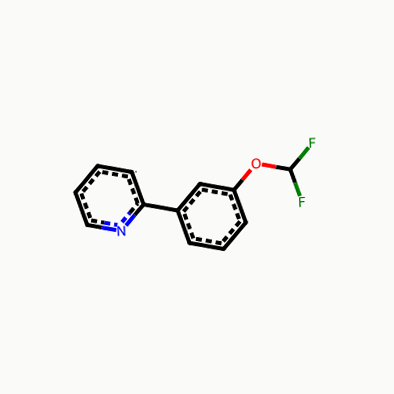 FC(F)Oc1cccc(-c2[c]cccn2)c1